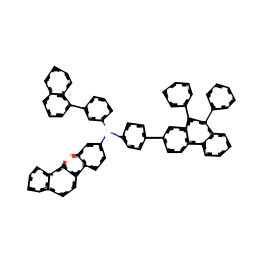 c1ccc(-c2c(-c3ccccc3)c3cc(-c4ccc(N(c5cccc(-c6cccc7ccccc67)c5)c5ccc6c(c5)oc5c7ccccc7ccc65)cc4)ccc3c3ccccc23)cc1